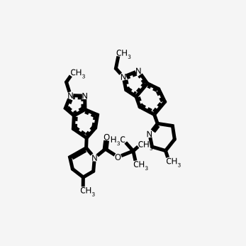 CCn1cc2cc(C3=CCC(C)CN3C(=O)OC(C)(C)C)ccc2n1.CCn1cc2cc(C3=NCC(C)CC3)ccc2n1